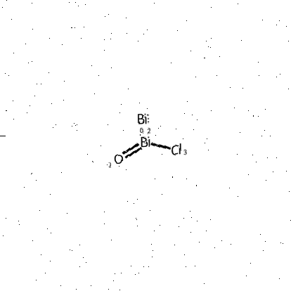 [Bi].[O]=[Bi][Cl]